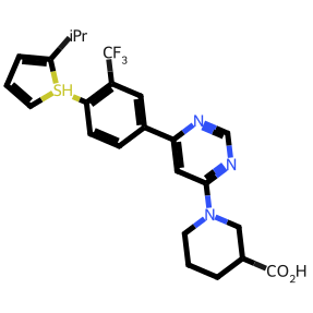 CC(C)C1=CC=C[SH]1c1ccc(-c2cc(N3CCCC(C(=O)O)C3)ncn2)cc1C(F)(F)F